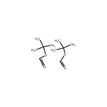 CC(C)(C)O[C]=O.CC(C)(C)O[C]=O